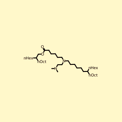 CCCCCCCCC(CCCCCC)CCCCCCN(CCCCCC(=O)OCC(CCCCCC)CCCCCCCC)CCN(C)C